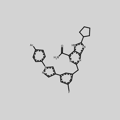 CC(=O)c1ccc(-n2cc(-c3cc(F)cc(Cc4nc(C(N)=O)c5[nH]c(C6CCCC6)nc5n4)c3)cn2)cc1